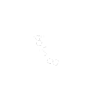 Cl.O=C(NN=Cc1ccc2ccccc2c1O)c1ccc2nc[nH]c2c1